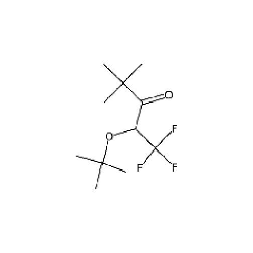 CC(C)(C)OC(C(=O)C(C)(C)C)C(F)(F)F